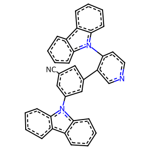 N#Cc1cc(-c2cnccc2-n2c3ccccc3c3ccccc32)cc(-n2c3ccccc3c3ccccc32)c1